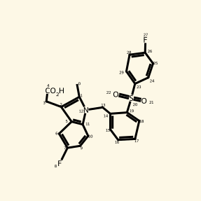 Cc1c(CC(=O)O)c2cc(F)ccc2n1Cc1ccccc1S(=O)(=O)c1ccc(F)cc1